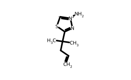 C=CCC(C)(C)c1n[n+](N)[c]s1